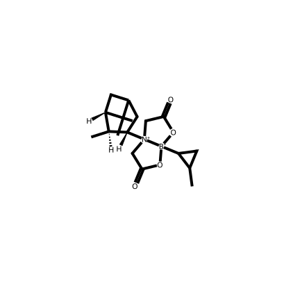 CC1CC1[B-]12OC(=O)C[N+]1([C@H]1CC3C[C@@H]([C@@H]1C)C3(C)C)CC(=O)O2